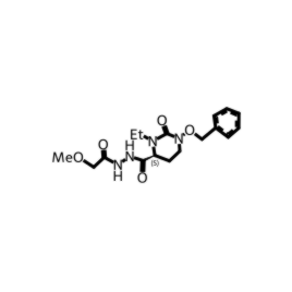 CCN1C(=O)N(OCc2ccccc2)CC[C@H]1C(=O)NNC(=O)COC